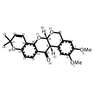 COc1cc2c(cc1OC)[C@@H]1C(=O)c3ccc4c(c3O[C@@H]1OC2)C=CC(C)(C)O4